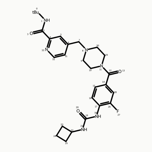 CC(C)(C)NC(=O)c1cc(CN2CCN(C(=O)c3ccc(NC(=O)NC4CCC4)c(F)c3)CC2)ccn1